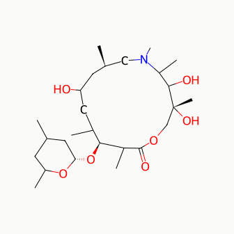 CC1CC(C)O[C@@H](O[C@H]2C(C)CC(O)C[C@@H](C)CN(C)C(C)C(O)[C@](C)(O)COC(=O)C2C)C1